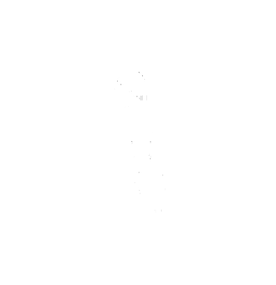 CCc1ccc(OC(=O)C2CCC(CNC(=N)N)CC2)cc1.Cl